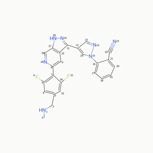 CNCc1cc(F)c(-c2cc3c(-c4cnn(-c5ccccc5C#N)c4)n[nH]c3cn2)c(F)c1